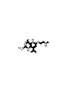 CNCCOC1C=C(C(C)C)C(NC(N)=O)=C(C(C)C)N1